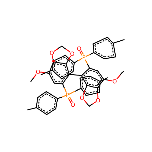 COc1cc(P(=O)(c2ccc(C)cc2)c2ccc(C)cc2)c(-c2c(P(=O)(c3ccc(C)cc3)c3ccc(C)cc3)cc(OC)c3c2OCO3)c2c1OCO2